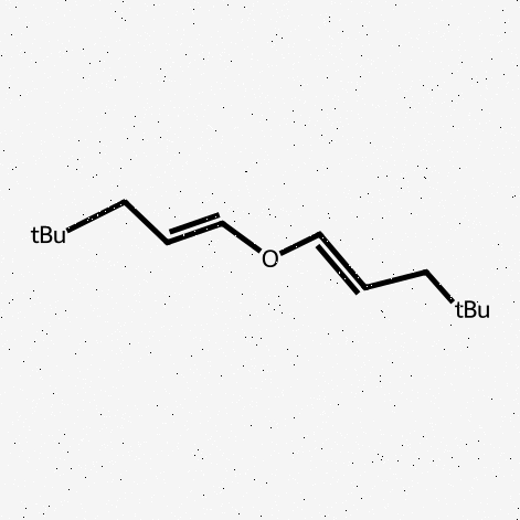 CC(C)(C)CC=COC=CCC(C)(C)C